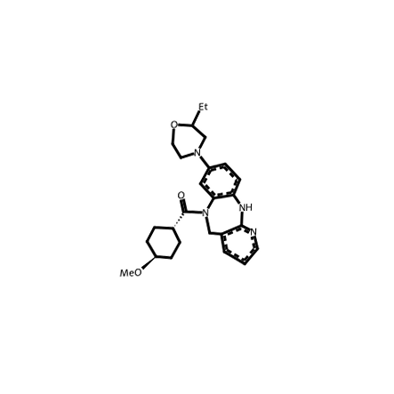 CCC1CN(c2ccc3c(c2)N(C(=O)[C@H]2CC[C@H](OC)CC2)Cc2cccnc2N3)CCO1